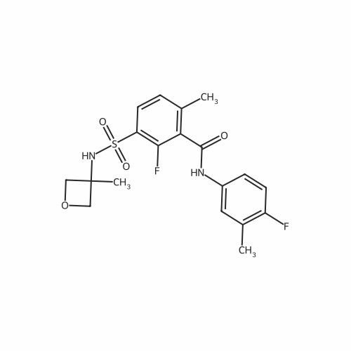 Cc1cc(NC(=O)c2c(C)ccc(S(=O)(=O)NC3(C)COC3)c2F)ccc1F